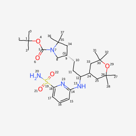 CC(C)(C)OC(=O)N1C[C@@H](CCC(Nc2cccc(S(N)(=O)=O)n2)C2CC(C)(C)OC(C)(C)C2)CC1(C)C